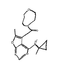 Cc1oc2ncnc(NC3(C)CC3)c2c1C(=O)N1CCOCC1